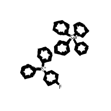 Fc1ccc([S+](c2ccccc2)c2ccccc2)cc1.c1cc[c]([Ga-]([c]2ccccc2)([c]2ccccc2)[c]2ccccc2)cc1